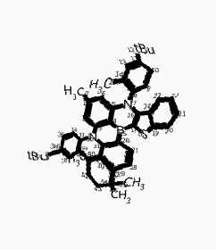 Cc1cc2c3c(c1)N(c1ccc(C(C)(C)C)cc1C)c1c(sc4ccccc14)B3c1ccc3c4c1N2c1ccc(C(C)(C)C)cc1[C@]4(C)CCC3(C)C